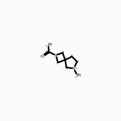 CC(C)C(=O)N1CC2(CCN(C(C)C)C2)C1